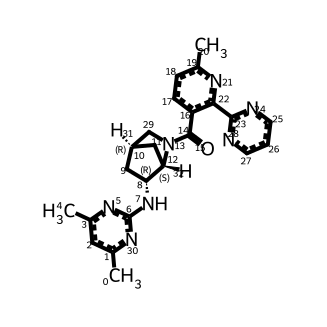 Cc1cc(C)nc(N[C@@H]2C[C@@H]3C[C@@H]2N(C(=O)c2ccc(C)nc2-c2ncccn2)C3)n1